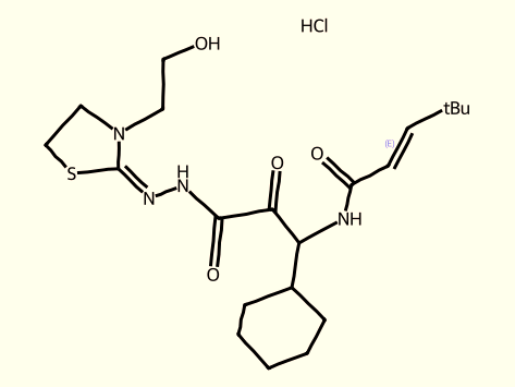 CC(C)(C)/C=C/C(=O)NC(C(=O)C(=O)NN=C1SCCN1CCO)C1CCCCC1.Cl